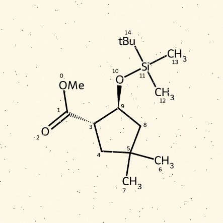 COC(=O)[C@H]1CC(C)(C)C[C@@H]1O[Si](C)(C)C(C)(C)C